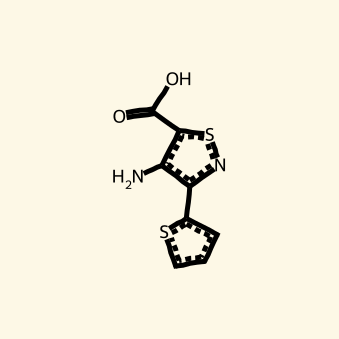 Nc1c(-c2cccs2)nsc1C(=O)O